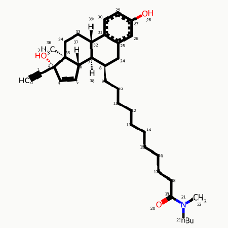 C#C[C@]1(O)C=C[C@H]2[C@@H]3[C@H](CCCCCCCCCCC(=O)N(C)CCCC)Cc4cc(O)ccc4[C@H]3CC[C@@]21C